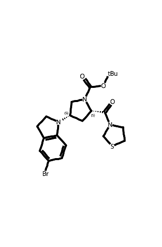 CC(C)(C)OC(=O)N1C[C@@H](N2CCc3cc(Br)ccc32)C[C@H]1C(=O)N1CCSC1